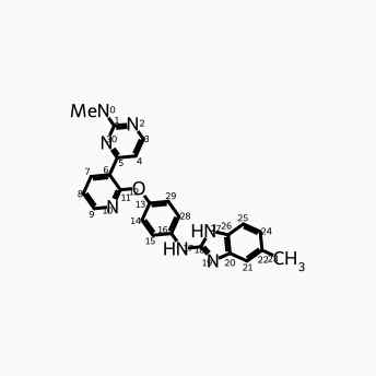 CNc1nccc(-c2cccnc2Oc2ccc(Nc3nc4cc(C)ccc4[nH]3)cc2)n1